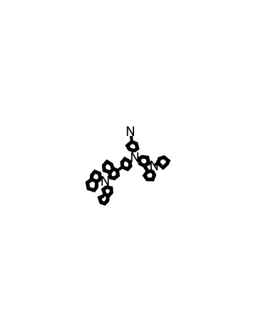 N#Cc1ccc(N(c2ccc(-c3ccc(N(c4ccc5ccccc5c4)c4cccc5ccccc45)c4ccccc34)cc2)c2ccc3c(c2)c2ccccc2n3-c2ccccc2)cc1